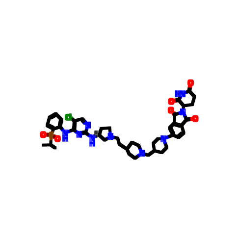 CC(C)S(=O)(=O)c1ccccc1Nc1nc(N[C@@H]2CCN(CCC3CCN(CC4CCN(c5ccc6c(c5)C(=O)N(C5CCC(=O)NC5=O)C6=O)CC4)CC3)C2)ncc1Cl